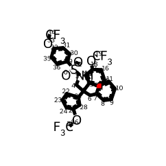 O=S(=O)(NCC(Cc1ccccc1)(c1cccc(OC(F)(F)F)c1)c1cccc(OC(F)(F)F)c1)c1ccc(OC(F)(F)F)cc1